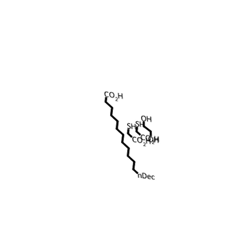 CCCCCCCCCCCCCCCCCCCCCC(=O)O.O=C(O)CS.O=C(O)CS.OCCO